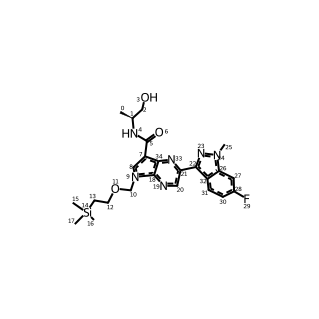 C[C@@H](CO)NC(=O)c1cn(COCC[Si](C)(C)C)c2ncc(-c3nn(C)c4cc(F)ccc34)nc12